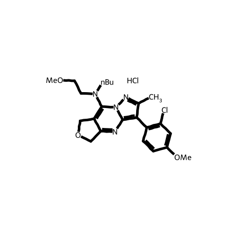 CCCCN(CCOC)c1c2c(nc3c(-c4ccc(OC)cc4Cl)c(C)nn13)COC2.Cl